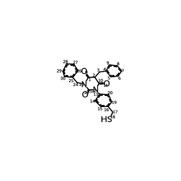 O=C1C(Cc2ccccc2)C(=O)N(c2ccc(CS)cc2)C(=O)N1Cc1ccccc1